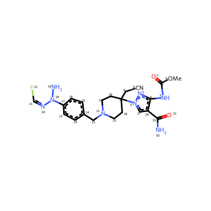 COC(=O)Nc1nn(C2(CC#N)CCN(Cc3ccc(N(N)/N=C\F)cc3)CC2)cc1C(N)=O